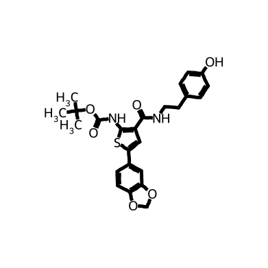 CC(C)(C)OC(=O)Nc1sc(-c2ccc3c(c2)OCO3)cc1C(=O)NCCc1ccc(O)cc1